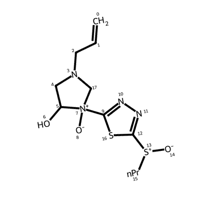 C=CCN1CC(O)[N+]([O-])(c2nnc([S+]([O-])CCC)s2)C1